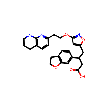 O=C(O)CC(Cc1cc(OCCc2ccc3c(n2)NCCC3)no1)c1ccc2c(c1)OCC2